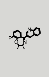 C[C@@H]1N=C(c2cnc3ccccc3c2)c2cccc(F)c2O[C@@H]1C